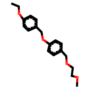 CCOc1ccc(COc2ccc(COCCOC)cc2)cc1